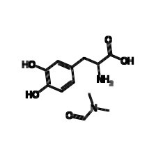 CN(C)C=O.NC(Cc1ccc(O)c(O)c1)C(=O)O